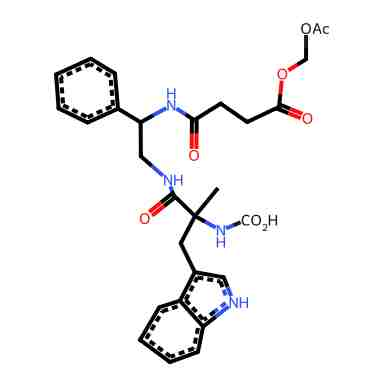 CC(=O)OCOC(=O)CCC(=O)NC(CNC(=O)C(C)(Cc1c[nH]c2ccccc12)NC(=O)O)c1ccccc1